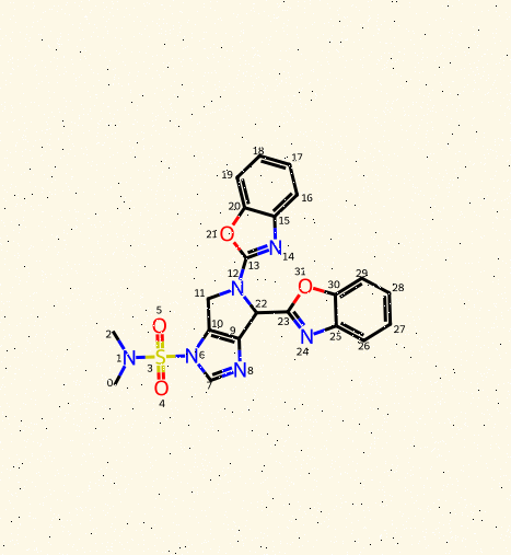 CN(C)S(=O)(=O)n1cnc2c1CN(c1nc3ccccc3o1)C2c1nc2ccccc2o1